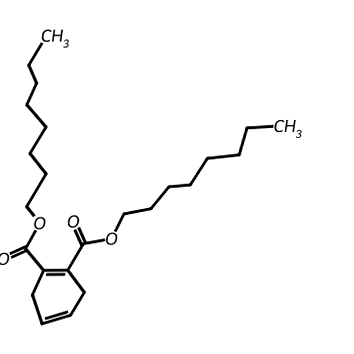 CCCCCCCCOC(=O)C1=C(C(=O)OCCCCCCCC)CC=CC1